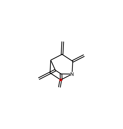 C=C1C(=C)N2C(=C)CC1C(=C)C2=C